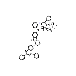 C=CC1=C(/C=C(\C)c2ccccc2N(C)c2ccc3oc4c(-c5ccc6nc(-c7ccccc7)nc(-c7ccccc7)c6c5)cccc4c3c2)c2ccccc2C1(C)C